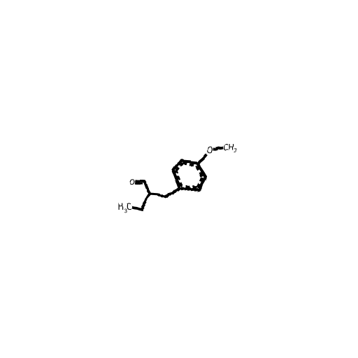 CCC(C=O)Cc1ccc(OC)cc1